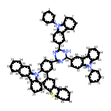 c1ccc(-n2c3ccccc3c3cc(C4=NC(c5ccc(-n6c7ccccc7c7cc8ccccc8cc76)c(-c6ccc7sc8ccccc8c7c6)c5)=NC(c5ccc6c(c5)c5ccccc5n6-c5ccccc5)N4)ccc32)cc1